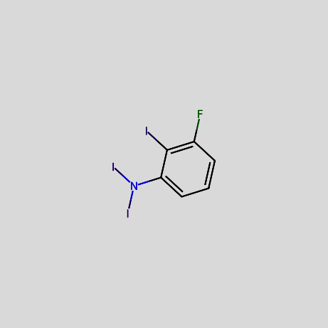 Fc1cccc(N(I)I)c1I